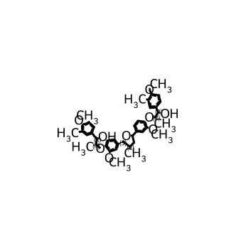 COc1ccc([C@@H](O)[C@@H](C)Oc2ccc(C3C[C@@H](C)[C@@H](c4ccc(O[C@H](C)[C@H](O)c5ccc(OC)c(C)c5)c(OC)c4)O3)cc2OC)cc1C